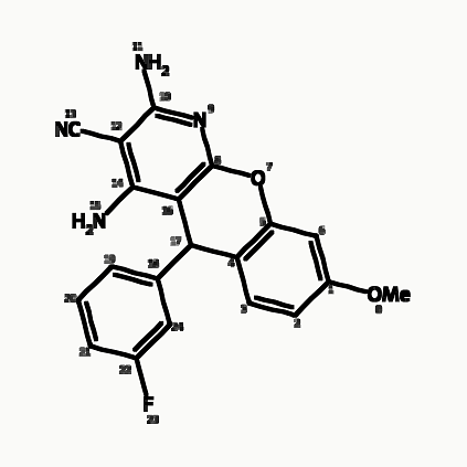 COc1ccc2c(c1)Oc1nc(N)c(C#N)c(N)c1C2c1cccc(F)c1